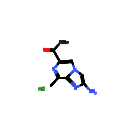 COC(=O)c1cn2cc(N)nc2c(C)n1.Cl